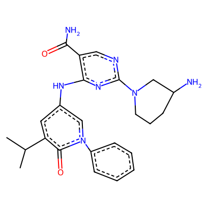 CC(C)c1cc(Nc2nc(N3CCCC(N)C3)ncc2C(N)=O)cn(-c2ccccc2)c1=O